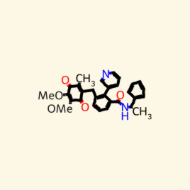 COC1=C(OC)C(=O)C(Cc2cccc(C(=O)N[C@@H](C)c3ccccc3)c2-c2cccnc2)=C(C)C1=O